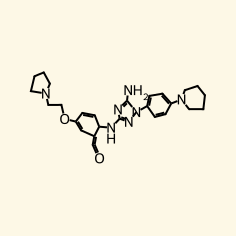 Nc1nc(NC2C=CC(OCCN3CCCC3)=CC2=C=O)nn1-c1ccc(N2CCCCC2)cc1